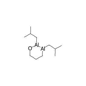 CC(C)[CH2][Al]1[CH2]CC[O][Al]1[CH2]C(C)C